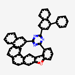 c1ccc(-c2cc(-c3nc(-c4ccc5ccccc5c4)nc(-c4cccc5oc6cc7ccc8ccccc8c7cc6c45)n3)cc3ccccc23)cc1